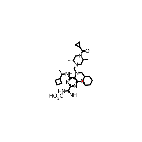 C=Nc1nc(C(=N)NC(=O)O)nc(N[C@H](C)C2CCC2)c1N(CC1CCCCC1)CN1C[C@H](C)N(C(=O)C2CC2)C[C@H]1C